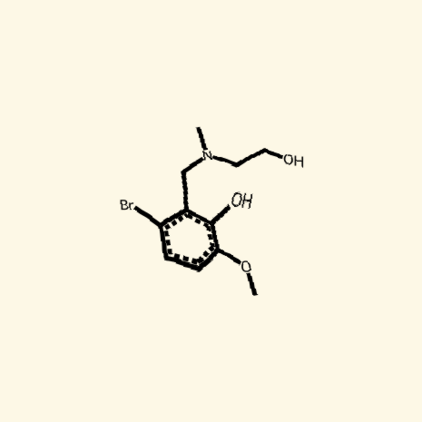 COc1ccc(Br)c(CN(C)CCO)c1O